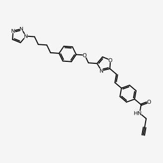 C#CCNC(=O)c1ccc(C=Cc2nc(COc3ccc(CCCCn4ccnn4)cc3)co2)cc1